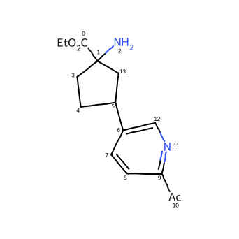 CCOC(=O)C1(N)CCC(c2ccc(C(C)=O)nc2)C1